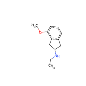 CCNC1Cc2cccc(OC)c2C1